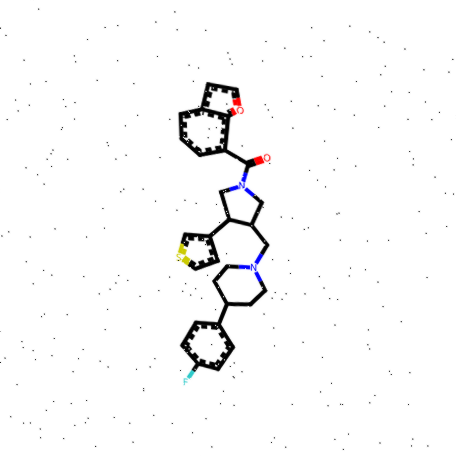 O=C(c1cccc2ccoc12)N1CC(CN2CCC(c3ccc(F)cc3)CC2)C(c2ccsc2)C1